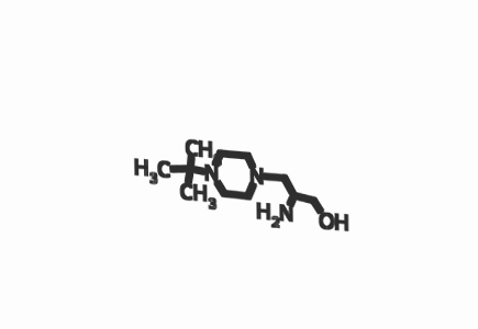 CC(C)(C)N1CCN(CC(N)CO)CC1